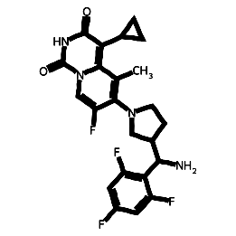 Cc1c(N2CCC(C(N)c3c(F)cc(F)cc3F)C2)c(F)cn2c(=O)[nH]c(=O)c(C3CC3)c12